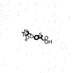 CCOc1nc(C)ncc1COc1ccc2c(CC(=O)O)csc2c1